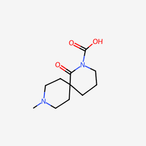 CN1CCC2(CCCN(C(=O)O)C2=O)CC1